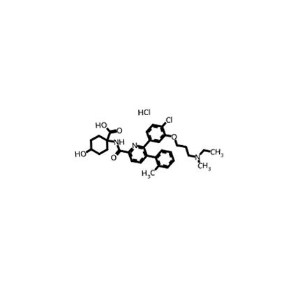 CCN(C)CCCOc1cc(-c2nc(C(=O)NC3(C(=O)O)CCC(O)CC3)ccc2-c2ccccc2C)ccc1Cl.Cl